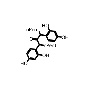 CCCCCC(C(=O)C(CCCCC)c1ccc(O)cc1O)c1ccc(O)cc1O